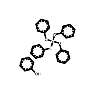 Oc1ccccc1.c1ccc(O[Si](Oc2ccccc2)(Oc2ccccc2)Oc2ccccc2)cc1